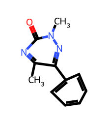 Cc1nc(=O)n(C)nc1-c1ccccc1